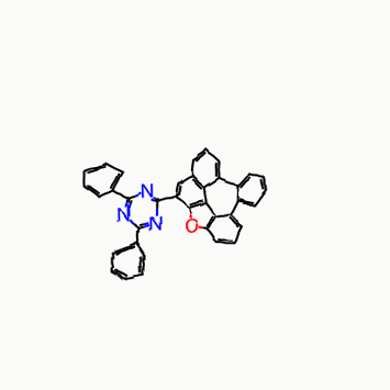 c1ccc(-c2nc(-c3ccccc3)nc(-c3cc4cccc5c4c4c3oc3cccc(c34)-c3ccccc3-5)n2)cc1